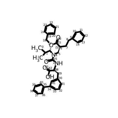 CC(C)CN(C[C@H](CCc1ccccc1)C(=O)OCc1ccccc1)C(=O)N[C@@H](Cc1cccc(-c2ccccc2)c1)C(=O)O